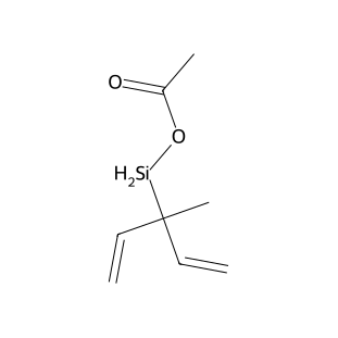 C=CC(C)(C=C)[SiH2]OC(C)=O